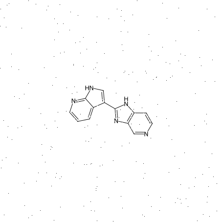 c1cnc2[nH]cc(-c3nc4cnccc4[nH]3)c2c1